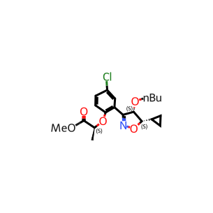 CCCCO[C@H]1C(c2cc(Cl)ccc2O[C@@H](C)C(=O)OC)=NO[C@H]1C1CC1